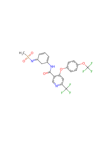 CS(=O)(=O)N=C1C=CC=C(NC(=O)c2cnc(C(F)(F)F)cc2Oc2ccc(OC(F)(F)F)cc2)C1